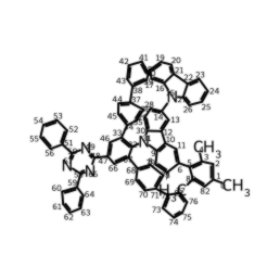 Cc1cc(C)c(-c2ccc3c(c2)c2cc(-n4c5ccccc5c5ccccc54)ccc2n3-c2c(-c3ccc(-c4ccccc4)cc3)cc(-c3nc(-c4ccccc4)nc(-c4ccccc4)n3)cc2-c2ccc(-c3ccccc3)cc2)c(C)c1